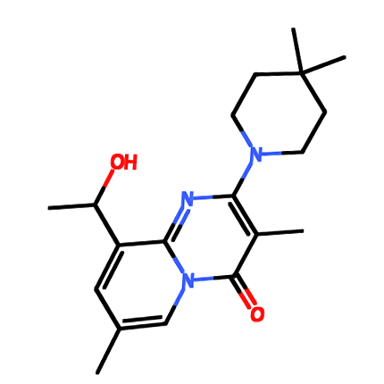 Cc1cc(C(C)O)c2nc(N3CCC(C)(C)CC3)c(C)c(=O)n2c1